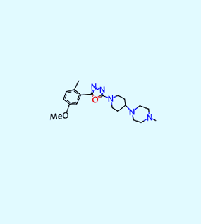 COc1ccc(C)c(-c2nnc(N3CCC(N4CCN(C)CC4)CC3)o2)c1